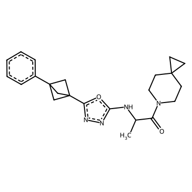 CC(Nc1nnc(C23CC(c4ccccc4)(C2)C3)o1)C(=O)N1CCC2(CC1)CC2